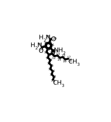 CCCCCCCCCCC(CCCCCCCC)Cc1c(C(N)=O)cc(C(N)=O)cc1C(N)=O